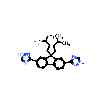 CC(C)CCC1(CCC(C)C)c2cc(-c3nc[nH]n3)ccc2-c2ccc(-c3nc[nH]n3)cc21